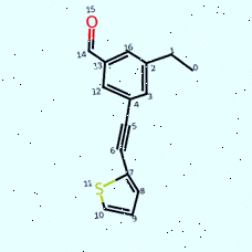 CCc1cc(C#Cc2cccs2)cc(C=O)c1